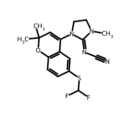 CN1CCN(C2=CC(C)(C)Oc3ccc(SC(F)F)cc32)C1=NC#N